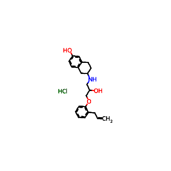 C=CCc1ccccc1OCC(O)CNC1CCc2cc(O)ccc2C1.Cl